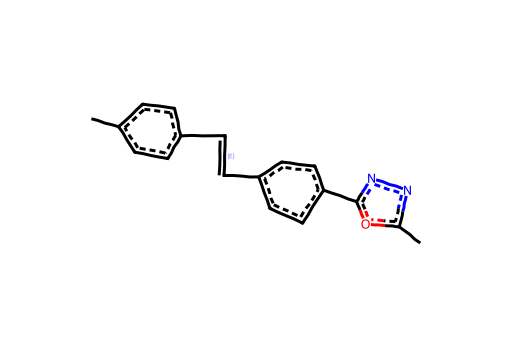 Cc1ccc(/C=C/c2ccc(-c3nnc(C)o3)cc2)cc1